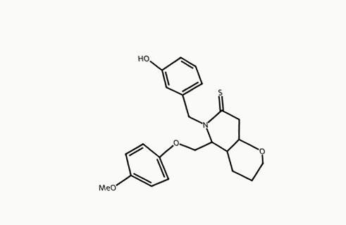 COc1ccc(OCC2C3CCCOC3CC(=S)N2Cc2cccc(O)c2)cc1